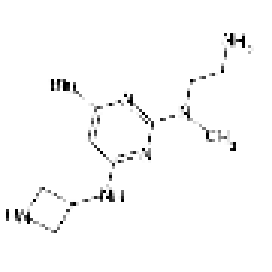 CN(CCN)c1nc(NC2CNC2)cc(C(C)(C)C)n1